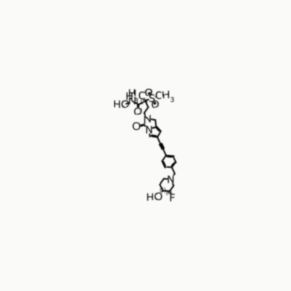 C[C@@](CCN1Cc2cc(C#Cc3ccc(CN4CC[C@H](O)[C@H](F)C4)cc3)cn2C1=O)(C(=O)NO)S(C)(=O)=O